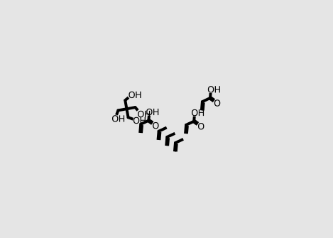 C=CC.C=CC.C=CC.C=CC(=O)O.C=CC(=O)O.C=CC(=O)O.OCC(CO)(CO)CO